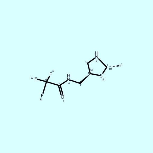 C[C@H]1NC[C@H](CNC(=O)C(F)(F)F)S1